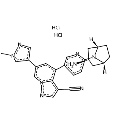 Cl.Cl.Cn1cc(-c2cc(-c3ccc(N4[C@@H]5CC[C@H]4C[C@H](N)C5)nc3)c3c(C#N)cnn3c2)cn1